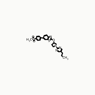 CCCc1cnc(N2CC[C@@H](Oc3nc4ccc(-c5ccc(S(C)(=O)=O)cc5)cc4s3)C2)nc1